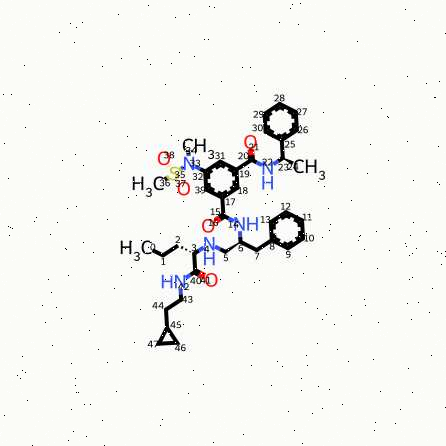 CCC[C@H](NC[C@H](Cc1ccccc1)NC(=O)c1cc(C(=O)N[C@H](C)c2ccccc2)cc(N(C)S(C)(=O)=O)c1)C(=O)NCCC1CC1